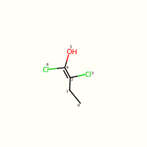 CCC(Cl)=C(O)Cl